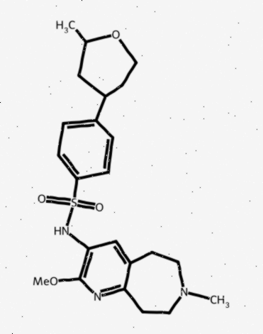 COc1nc2c(cc1NS(=O)(=O)c1ccc(C3CCOC(C)C3)cc1)CCN(C)CC2